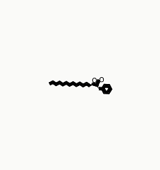 CCCCCCCCCCCCC[C@H]1OC(=O)[C@@H]1Cc1ccccc1